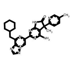 Cc1ccc(C2(C)C(=O)Nc3nc(-c4cn5ncnc5c(CC5CCCCC5)n4)nc(N)c32)nc1